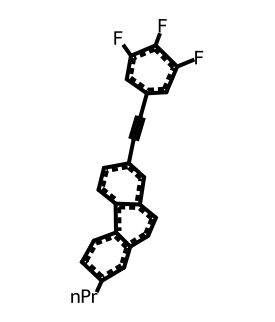 CCCc1ccc2c(ccc3cc(C#Cc4cc(F)c(F)c(F)c4)ccc32)c1